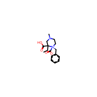 CCC1(C(=O)O)CN(C)CC[N@+]1(Cc1ccccc1)C(=O)[O-]